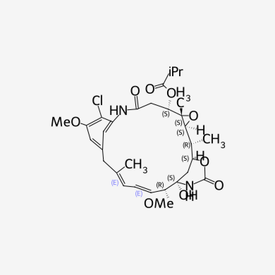 COc1cc2cc(c1Cl)NC(=O)C[C@H](OC(=O)C(C)C)[C@]1(C)O[C@H]1[C@H](C)[C@@H]1C[C@@](O)(NC(=O)O1)[C@H](OC)/C=C/C=C(\C)C2